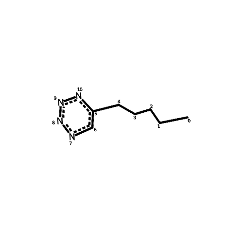 CCCCCc1cnnnn1